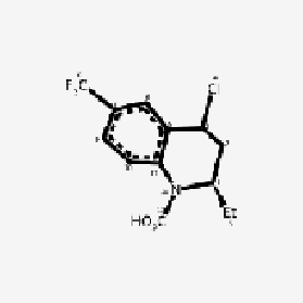 CC[C@@H]1CC(Cl)c2cc(C(F)(F)F)ccc2N1C(=O)O